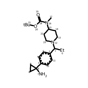 CCC(c1ccc(C2(N)CC2)cc1)N1CCC(N(C)C(=O)OC(C)(C)C)CC1